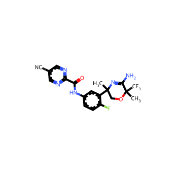 CC1(c2cc(NC(=O)c3ncc(C#N)cn3)ccc2F)COC(C)(C(F)(F)F)C(N)=N1